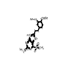 COc1ccc(CCc2nc3c(S(C)(=O)=O)nc(N)nc3s2)cc1OC